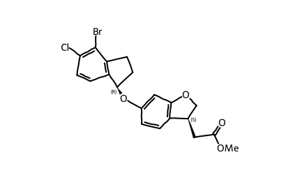 COC(=O)C[C@@H]1COc2cc(O[C@@H]3CCc4c3ccc(Cl)c4Br)ccc21